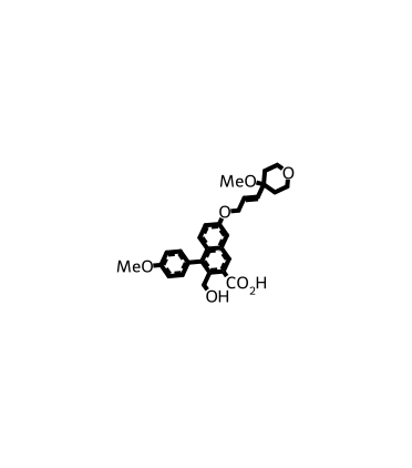 COc1ccc(-c2c(CO)c(C(=O)O)cc3cc(OC/C=C/C4(OC)CCOCC4)ccc23)cc1